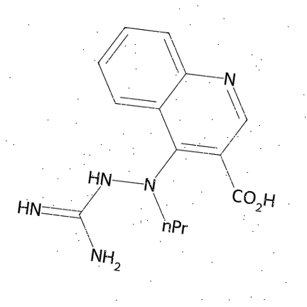 CCCN(NC(=N)N)c1c(C(=O)O)cnc2ccccc12